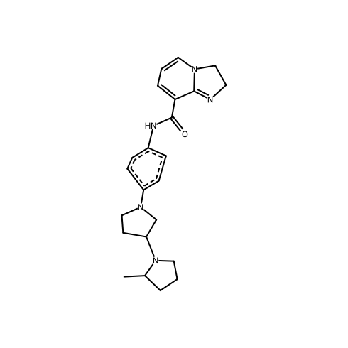 CC1CCCN1C1CCN(c2ccc(NC(=O)C3=CC=CN4CCN=C34)cc2)C1